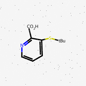 CC(C)(C)Sc1cccnc1C(=O)O